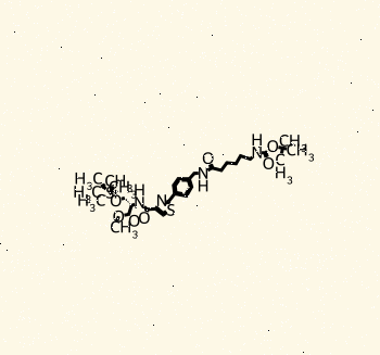 COC(=O)[C@H](CO[Si](C)(C)C(C)(C)C)NC(=O)c1csc(-c2ccc(CNC(=O)CCCCCNC(=O)OC(C)(C)C)cc2)n1